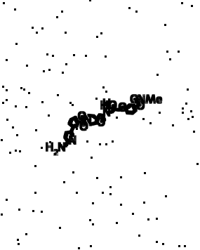 CNS(=O)(=O)c1cccc(OCC(O)CNC2COC3(CCN(S(=O)(=O)c4cccc(-c5ccc(CN)nc5)c4)CC3)C2)c1